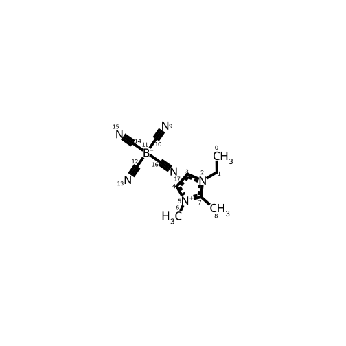 CCn1cc[n+](C)c1C.N#C[B-](C#N)(C#N)C#N